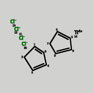 C1=CCC=C1.C1=CCC=C1.[Cl-].[Cl-].[Cl-].[Cl-].[Ti+4]